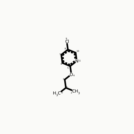 CC(C)COc1ccc(Cl)cn1